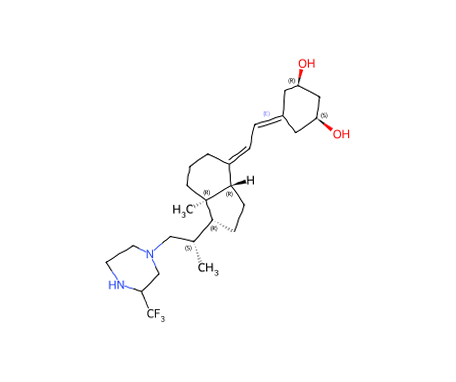 C[C@H](CN1CCNC(C(F)(F)F)C1)[C@H]1CC[C@H]2C(=C/C=C3/C[C@@H](O)C[C@@H](O)C3)CCC[C@]12C